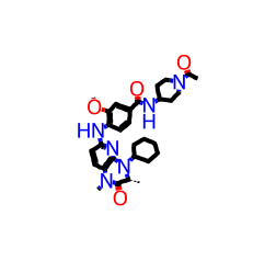 COc1cc(C(=O)NC2CCN(C(C)=O)CC2)ccc1Nc1ccc2c(n1)N(C1CCCCC1)[C@H](C)C(=O)N2C